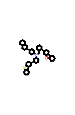 c1cc(-c2ccc3sc4ccccc4c3c2)cc(N(Cc2ccccc2-c2ccc3c(c2)oc2ccccc23)c2ccc(-c3ccc4ccccc4c3)cc2)c1